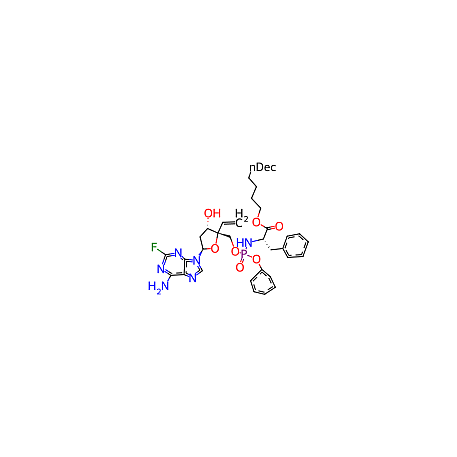 C=C[C@]1(COP(=O)(N[C@@H](Cc2ccccc2)C(=O)OCCCCCCCCCCCCCC)Oc2ccccc2)O[C@@H](n2cnc3c(N)nc(F)nc32)C[C@@H]1O